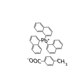 Cc1ccc(C(=O)[O-])cc1.c1ccc2[c]([Pb+]([c]3cccc4ccccc34)[c]3cccc4ccccc34)cccc2c1